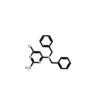 Nc1nc(Cl)cc(N(Cc2ccccc2)Cc2ccccc2)n1